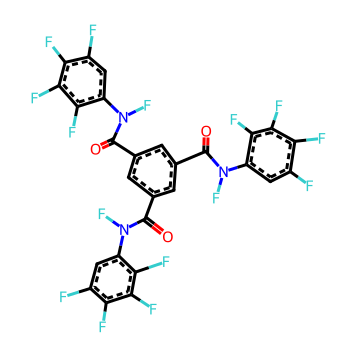 O=C(c1cc(C(=O)N(F)c2cc(F)c(F)c(F)c2F)cc(C(=O)N(F)c2cc(F)c(F)c(F)c2F)c1)N(F)c1cc(F)c(F)c(F)c1F